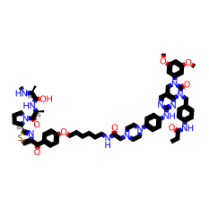 CCC(=O)Nc1ccc(CN2C(=O)N(c3cc(OC)cc(OC)c3)Cc3cnc(Nc4ccc(N5CCN(CC(=O)NCCCCCCOc6ccc(C(=O)c7csc([C@@H]8CCCN8C(=O)[C@H](C)NC(O)[C@H](C)NC)n7)cc6)CC5)cc4)nc32)cc1